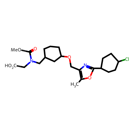 COC(=O)N(CC(=O)O)CC1CCCC(OCc2nc(C3CCC(Cl)CC3)oc2C)C1